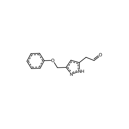 O=CCc1cc(COc2ccccc2)n[nH]1